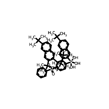 CC(C)(C)c1ccc2cc(-c3c(S(=O)(=O)c4ccccc4)ccc(P(O)(O)(O)c4cc5ccc(C(C)(C)C)cc5cc4C(C)(C)C)c3C(C)(C)C)c(C(C)(C)C)cc2c1